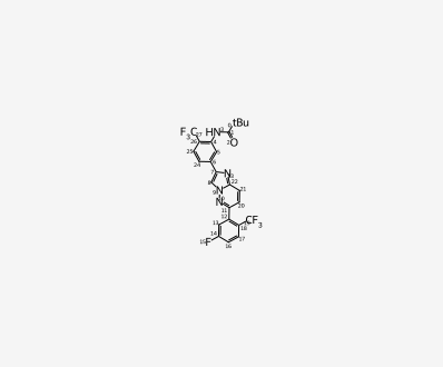 CC(C)(C)C(=O)Nc1cc(-c2cn3nc(-c4cc(F)ccc4C(F)(F)F)ccc3n2)ccc1C(F)(F)F